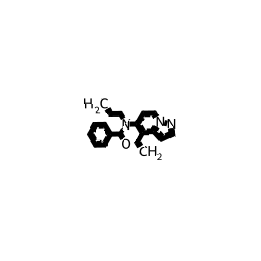 C=CCN(C(=O)c1ccccc1)c1ccn2nccc2c1C=C